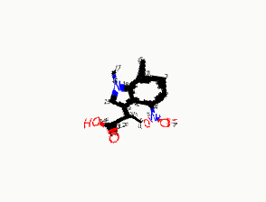 Cc1ccc([N+](=O)[O-])c2c(C(C)C(=O)O)cn(C)c12